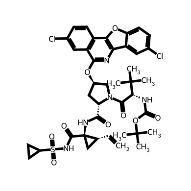 C=C[C@@H]1C[C@]1(NC(=O)[C@@H]1C[C@@H](Oc2nc3c4cc(Cl)ccc4oc3c3ccc(Cl)cc23)CN1C(=O)[C@@H](NC(=O)OC(C)(C)C)C(C)(C)C)C(=O)NS(=O)(=O)C1CC1